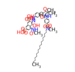 CCCCCCCCCCCCCCCCCCN(C)S(=O)(=O)c1ccc(NC(=O)C(Cc2ccc(/N=N/c3c(S(=O)(=O)O)cc4cc(S(=O)(=O)O)cc(NC(C)=O)c4c3O)cc2)C(=O)C(C)(C)C)cc1